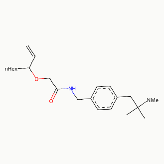 C=CC(CCCCCC)OCC(=O)NCc1ccc(CC(C)(C)NC)cc1